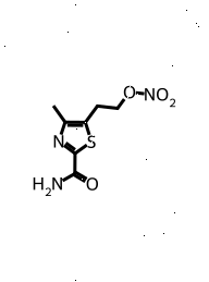 Cc1nc(C(N)=O)sc1CCO[N+](=O)[O-]